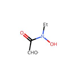 CCN(O)C(=O)[C]=O